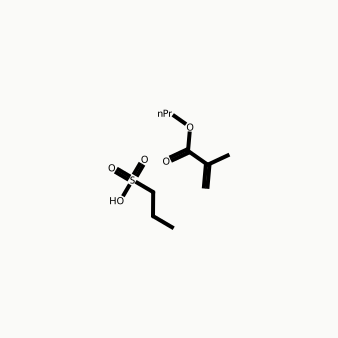 C=C(C)C(=O)OCCC.CCCS(=O)(=O)O